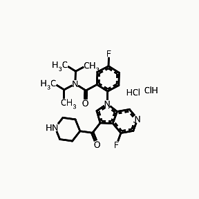 CC(C)N(C(=O)c1cc(F)ccc1-n1cc(C(=O)C2CCNCC2)c2c(F)cncc21)C(C)C.Cl.Cl